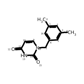 Cc1cc(C)cc(Cn2ccc(=O)[nH]c2=O)c1